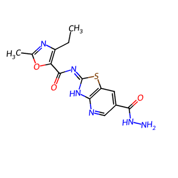 CCc1nc(C)oc1C(=O)/N=c1\[nH]c2ncc(C(=O)NN)cc2s1